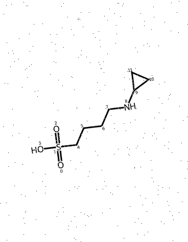 O=S(=O)(O)CCCCNC1CC1